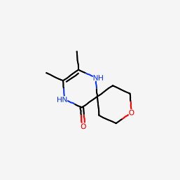 CC1=C(C)NC2(CCOCC2)C(=O)N1